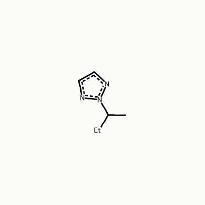 CCC(C)n1nccn1